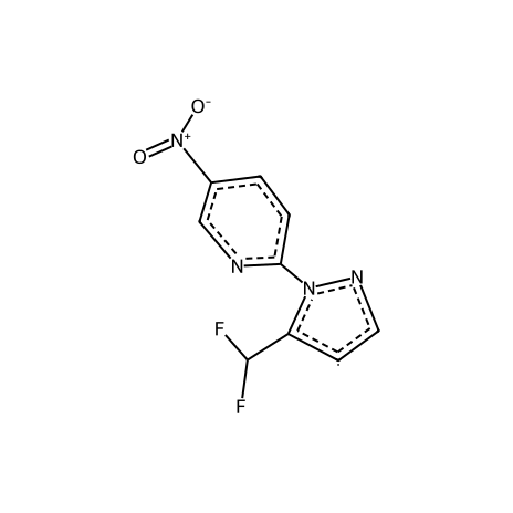 O=[N+]([O-])c1ccc(-n2nc[c]c2C(F)F)nc1